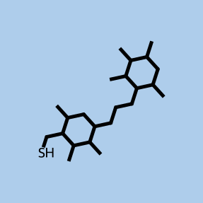 CC1CC(C)C(CCCC2CC(C)C(CS)C(C)C2C)C(C)C1C